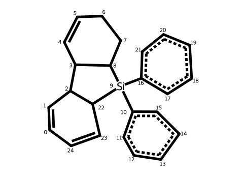 C1=CC2C3C=CCCC3[Si](c3ccccc3)(c3ccccc3)C2C=C1